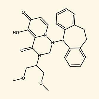 COCC(COC)N1CN(C2c3ccccc3CCc3ccccc32)n2ccc(=O)c(O)c2C1=O